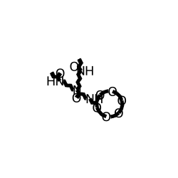 C=CC(=O)NCCCCN(CCCCNC(=O)C=C)C(=O)CCNCC1COCCOCCOCCOCCOCCO1